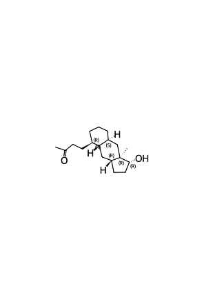 CC(=O)CC[C@H]1CCC[C@H]2C[C@]3(C)[C@H](CC[C@H]3O)C[C@H]12